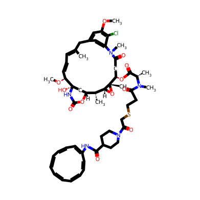 COc1cc2cc(c1Cl)N(C)C(=O)C[C@H](OC(=O)[C@H](C)N(C)C(=O)CCSCC(=O)N1CCC(C(=O)NC3=C/C=C\C=C/C=C\C=C/C=C\3)CC1)[C@]1(C)O[C@H]1[C@H](C)[C@@H]1C[C@@](O)(NC(=O)O1)[C@H](OC)/C=C/C=C(\C)C2